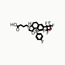 O=C(O)CCCN1CC[C@]2(S(=O)(=O)c3ccc(F)cc3)c3ccc(C(F)(C(F)(F)F)C(F)(F)F)cc3CC[C@H]12